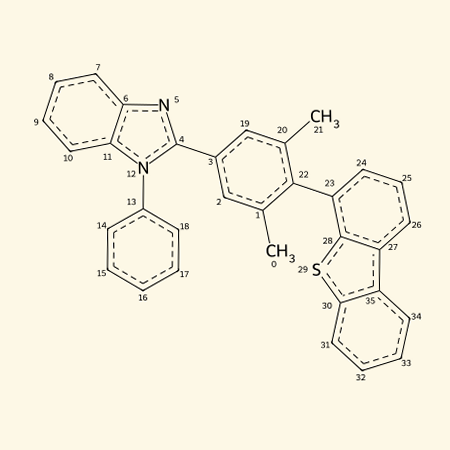 Cc1cc(-c2nc3ccccc3n2-c2ccccc2)cc(C)c1-c1cccc2c1sc1ccccc12